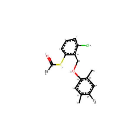 CCC(=O)Sc1cccc(Cl)c1COc1cc(C)c(CC)cc1C